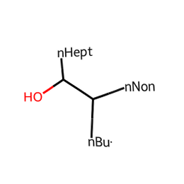 CCC[CH]C(CCCCCCCCC)C(O)CCCCCCC